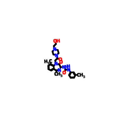 CC1=NC(NC(=O)Nc2cccc(C)c2)C(=O)N(CC(=O)N2CCN(CCO)CC2)c2c(C)cccc21